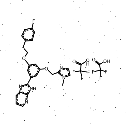 Cn1ccnc1COc1cc(OCCc2ccc(F)cc2)cc(-c2nc3cccnc3[nH]2)c1.O=C(O)C(F)(F)F.O=C(O)C(F)(F)F